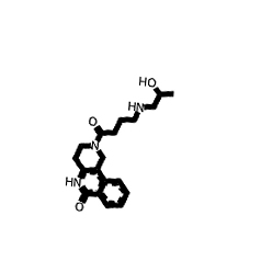 CC(O)CNCCCC(=O)N1CCc2[nH]c(=O)c3ccccc3c2C1